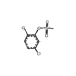 CS(=O)(=O)Oc1[c]c(Cl)ccc1Cl